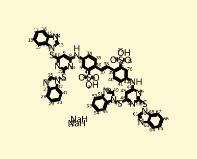 O=S(=O)(O)c1cc(Nc2cc(Sn3cnc4ccccc43)nc(Sn3cnc4ccccc43)n2)ccc1C=Cc1ccc(Nc2cc(Sn3cnc4ccccc43)nc(Sn3cnc4ccccc43)n2)cc1S(=O)(=O)O.[NaH].[NaH]